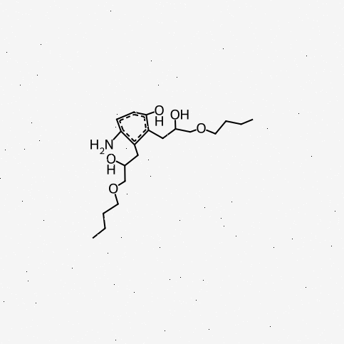 CCCCOCC(O)Cc1c(N)ccc(O)c1CC(O)COCCCC